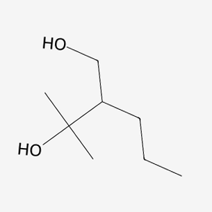 CCCC(CO)C(C)(C)O